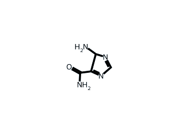 NC(=O)C1=NC=NC1N